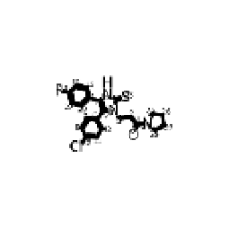 O=C(CCn1c(-c2ccc(Cl)cc2)c(-c2ccc(F)cc2)[nH]c1=S)N1CCCC1